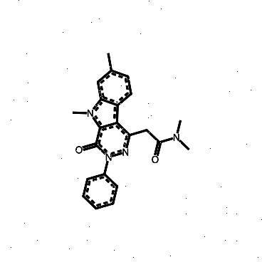 Cc1ccc2c3c(CC(=O)N(C)C)nn(-c4ccccc4)c(=O)c3n(C)c2c1